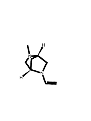 C=CN1C[C@@H]2C[C@H]1CN2C